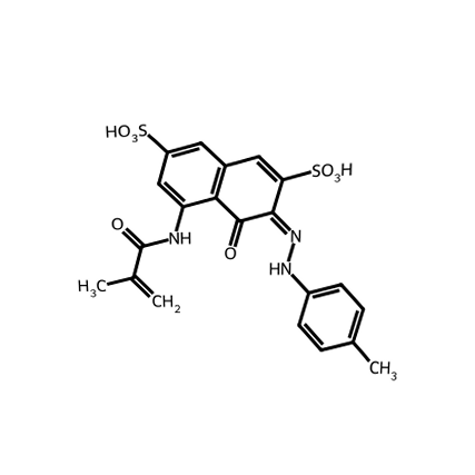 C=C(C)C(=O)Nc1cc(S(=O)(=O)O)cc2c1C(=O)/C(=N\Nc1ccc(C)cc1)C(S(=O)(=O)O)=C2